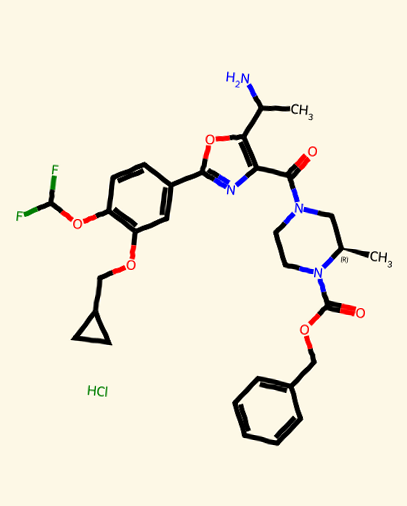 CC(N)c1oc(-c2ccc(OC(F)F)c(OCC3CC3)c2)nc1C(=O)N1CCN(C(=O)OCc2ccccc2)[C@H](C)C1.Cl